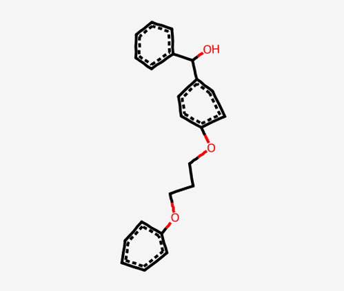 OC(c1ccccc1)c1ccc(OCCCOc2ccccc2)cc1